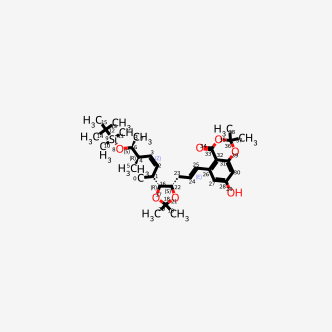 CC(/C=C\[C@@H](C)[C@H](C)O[Si](C)(C)C(C)(C)C)[C@H]1OC(C)(C)O[C@H]1C/C=C/c1cc(O)cc2c1C(=O)OC(C)(C)O2